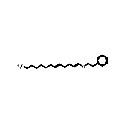 CCCCCCCC=CCCC=COCCc1ccccc1